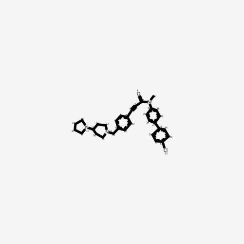 CN(C(=O)C#Cc1ccc(CN2CCC(N3CCCC3)CC2)cc1)c1ccc(-c2ccc(Cl)cc2)cc1